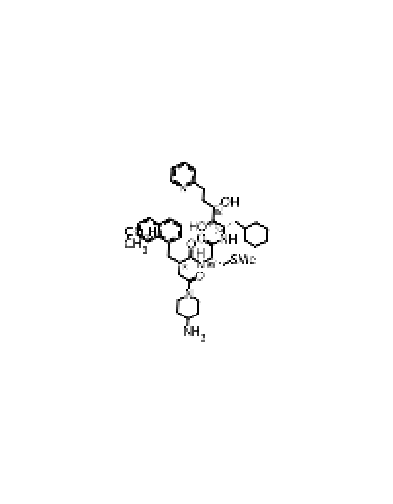 CC(=O)O.CSC[C@H](NC(=O)[C@@H](CC(=O)N1CCC(N)CC1)Cc1cccc2ccccc12)C(=O)N[C@@H](CC1CCCCC1)[C@@H](O)[C@@H](O)CCc1ccccn1